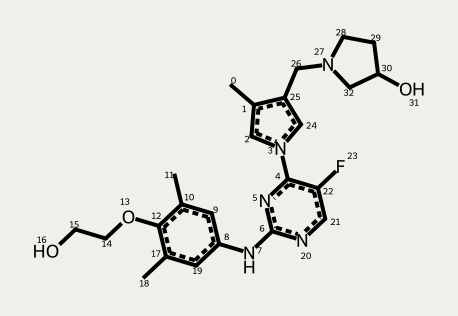 Cc1cn(-c2nc(Nc3cc(C)c(OCCO)c(C)c3)ncc2F)cc1CN1CCC(O)C1